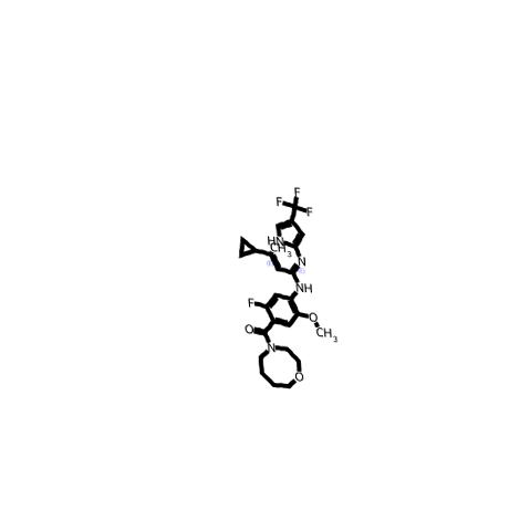 COc1cc(C(=O)N2CCCCOCC2)c(F)cc1NC(/C=C(\C)C1CC1)=N/c1cc(C(F)(F)F)c[nH]1